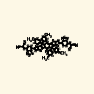 Cc1ccc(C2(c3ccc(C)cc3)c3c(F)c4c(c(F)c3-c3sc5cc(-c6ccc(C=C(C#N)C#N)c7nsnc67)sc5c32)C(c2ccc(C)cc2)(c2ccc(C)cc2)c2c-4sc3cc(-c4ccc(C=C(C#N)C#N)c5nsnc45)sc23)cc1